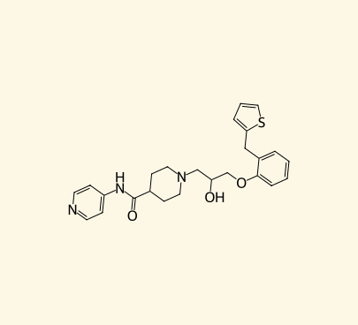 O=C(Nc1ccncc1)C1CCN(CC(O)COc2ccccc2Cc2cccs2)CC1